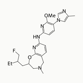 CCC(CF)CC1CN(C)Cc2ccc(Nc3ccc(-n4cnc(C)c4)c(OC)n3)nc2O1